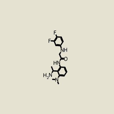 CC(N)c1c(NC(=O)CNc2ccc(F)c(F)c2)cccc1N(C)C